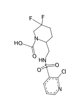 O=C(O)N1CC(F)(F)CCC1CNS(=O)(=O)c1cccnc1Cl